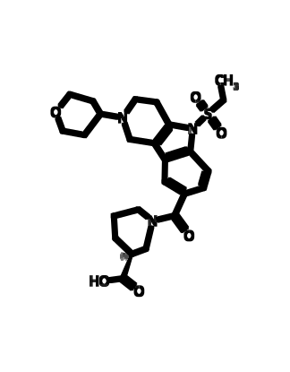 CCS(=O)(=O)n1c2c(c3cc(C(=O)N4CCC[C@H](C(=O)O)C4)ccc31)CN(C1CCOCC1)CC2